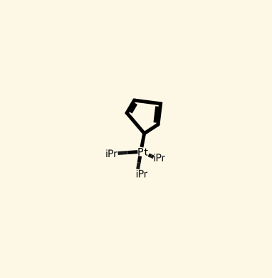 C[CH](C)[Pt]([CH](C)C)([CH](C)C)[CH]1C=CC=C1